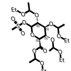 CCOC(C)OC(=O)[C@H]1OC(OS(C)(=O)=O)[C@H](OC(C)OCC)[C@@H](OC(C)OCC)[C@@H]1OC(C)OCC